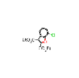 CCOC(=O)c1oc2c(Cl)cccc2c1C(=O)OCC